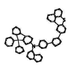 c1ccc(C2(c3ccccc3)c3ccccc3-c3ccc(N(c4ccc(-c5cccc(-c6ccc7c(c6)-c6cccc8cccc(c68)S7)c5)cc4)c4cccc5ccccc45)cc32)cc1